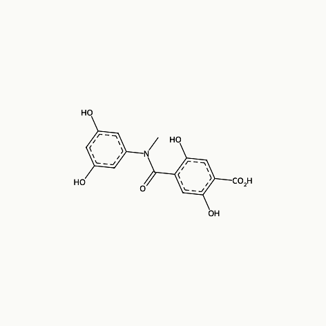 CN(C(=O)c1cc(O)c(C(=O)O)cc1O)c1cc(O)cc(O)c1